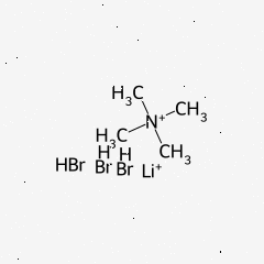 Br.Br.Br.C[N+](C)(C)C.[Li+]